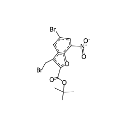 CC(C)(C)OC(=O)c1oc2c([N+](=O)[O-])cc(Br)cc2c1CBr